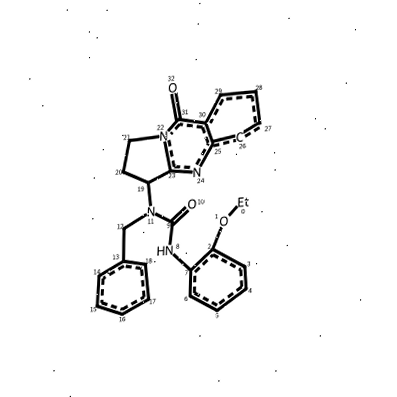 CCOc1ccccc1NC(=O)N(Cc1ccccc1)C1CCn2c1nc1ccccc1c2=O